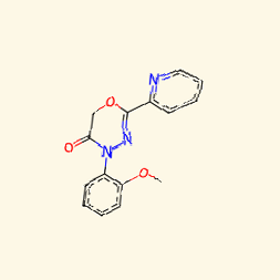 COc1ccccc1N1N=C(c2ccccn2)OCC1=O